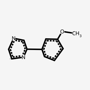 COc1cccc(-c2cnc[c]n2)c1